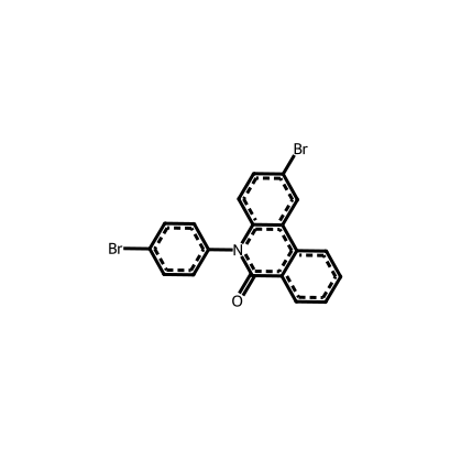 O=c1c2ccccc2c2cc(Br)ccc2n1-c1ccc(Br)cc1